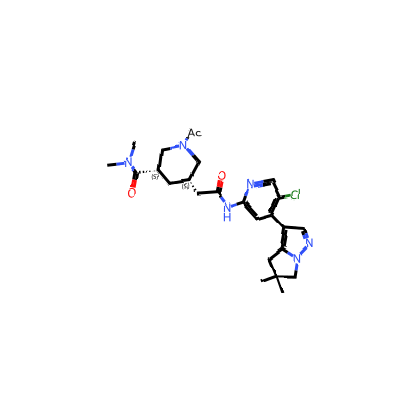 CC(=O)N1C[C@H](CC(=O)Nc2cc(-c3cnn4c3CC(C)(C)C4)c(Cl)cn2)C[C@H](C(=O)N(C)C)C1